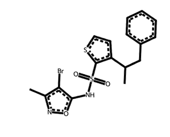 Cc1noc(NS(=O)(=O)c2sccc2C(C)Cc2ccccc2)c1Br